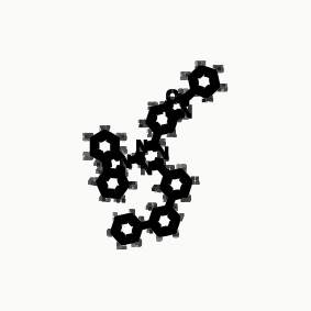 c1ccc(-c2cccc(-c3cccc(-c4nc(-c5ccc6oc(-c7ccccc7)nc6c5)nc(-n5c6ccccc6c6ccccc65)n4)c3)c2)cc1